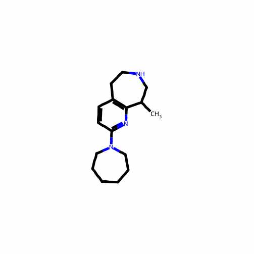 CC1CNCCc2ccc(N3CCCCCC3)nc21